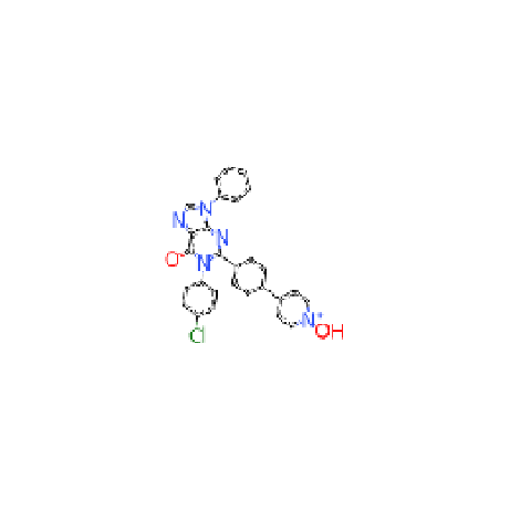 O=c1c2ncn(-c3ccccc3)c2nc(-c2ccc(-c3cc[n+](O)cc3)cc2)n1-c1ccc(Cl)cc1